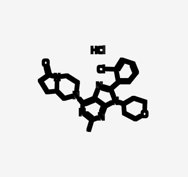 Cc1nc(N2CCN3C(=O)CCC3C2)c2nc(-c3ccccc3Cl)n(C3CCOCC3)c2n1.Cl